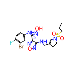 CCCS(=O)(=O)N1C=C(CNc2nonc2/C(=N/O)Nc2ccc(F)c(Br)c2)CC1